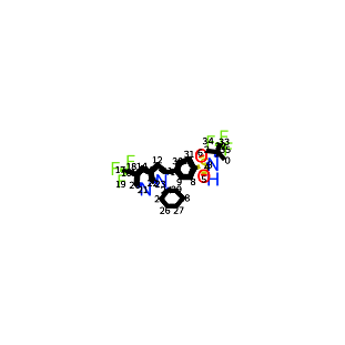 CC(C)(NS(=O)(=O)c1ccc(-c2cc3cc(C(F)(F)F)cnc3n2C2CCCCC2)cc1)C(F)(F)F